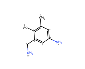 CC(=O)c1c(C)cc(N)cc1CN